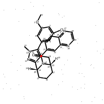 COc1cc(Cl)cc(-c2c3c(nn2C)[C@H]2CCC[C@@H](C3)N2C(=O)c2ccc3nccnc3c2)c1